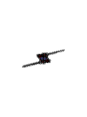 CCCCCCCCCCCCCCCCCCCCOc1ccc(-c2c3/c(=C(\C#N)c4cnc5ccccc5n4)n(B(c4ccccc4)c4ccccc4)c(-c4ccc(OCCCCCCCCCCCCCCCCCCCC)cc4)c3/c(=C(\C#N)c3cnc4ccccc4n3)n2B(c2ccccc2)c2ccccc2)cc1